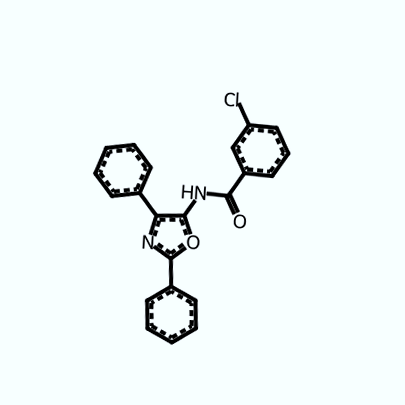 O=C(Nc1oc(-c2ccccc2)nc1-c1ccccc1)c1cccc(Cl)c1